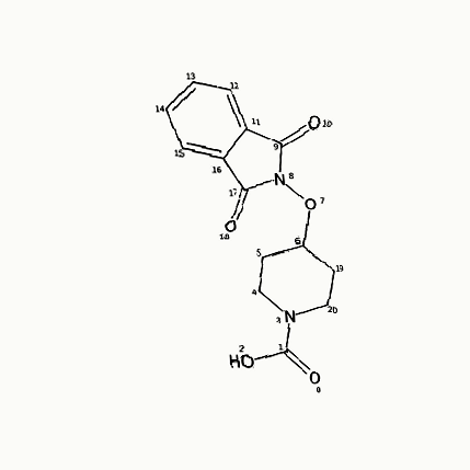 O=C(O)N1CCC(ON2C(=O)c3ccccc3C2=O)CC1